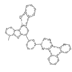 Cc1cccc2c1oc1c(-c3cccc(-c4cnc5c6ccccc6c6ccccc6c5n4)c3)cc3c4ccccc4oc3c12